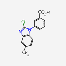 O=C(O)c1cccc(-n2c(Cl)nc3cc(C(F)(F)F)ccc32)c1